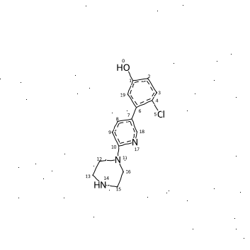 Oc1ccc(Cl)c(-c2ccc(N3CCNCC3)nc2)c1